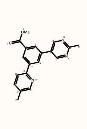 COC(=O)c1cc(-c2cnc(C)nc2)cc(-c2ccc(C)cn2)c1